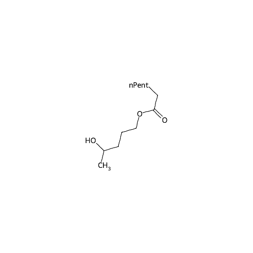 CCCCCCC(=O)OCCCC(C)O